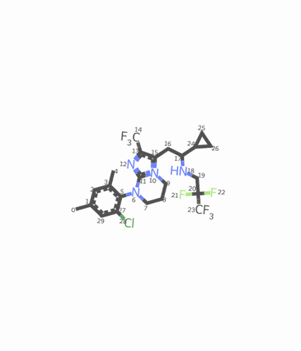 Cc1cc(C)c(N2CCCn3c2nc(C(F)(F)F)c3CC(NCC(F)(F)C(F)(F)F)C2CC2)c(Cl)c1